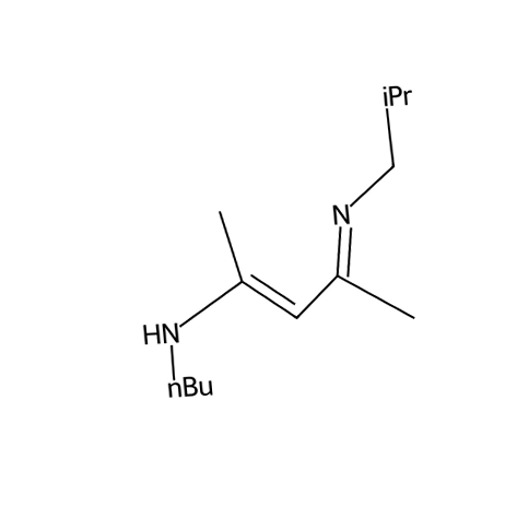 CCCCNC(C)=CC(C)=NCC(C)C